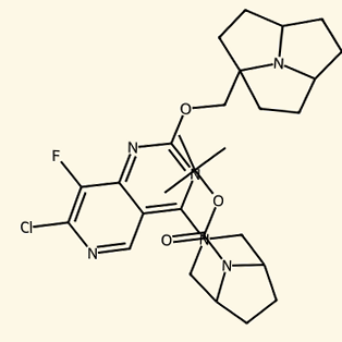 CC(C)(C)OC(=O)N1C2CCC1CN(c1nc(OCC34CCC5CCC(CC3)N54)nc3c(F)c(Cl)ncc13)C2